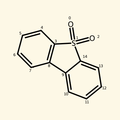 O=S1(=O)c2ccc[c]c2-c2ccccc21